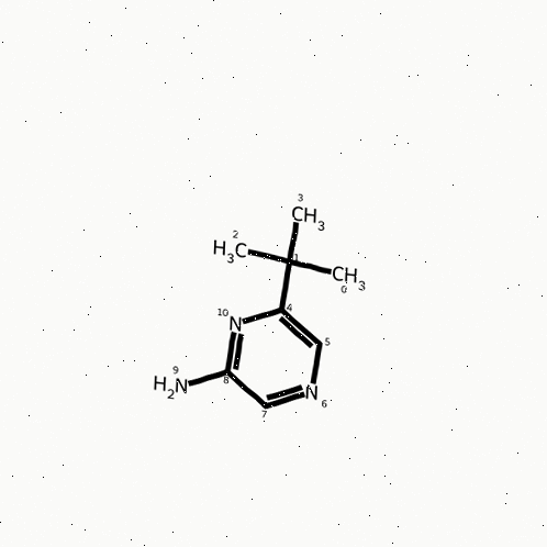 CC(C)(C)c1cncc(N)n1